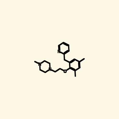 Cc1cc(C)c(OCCN2CCN(C)CC2)c(Cc2ccccn2)c1